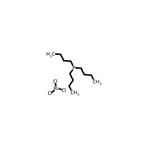 CCCCP(CCCC)CCCC.[Cl][Ru]([Cl])[Cl]